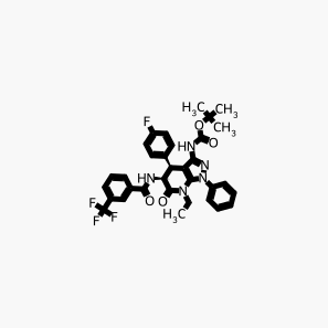 CCN1C(=O)[C@@H](NC(=O)c2cccc(C(F)(F)F)c2)[C@@H](c2ccc(F)cc2)c2c(NC(=O)OC(C)(C)C)nn(-c3ccccc3)c21